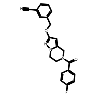 N#Cc1cccc(COc2cc3n(n2)CCN(C(=O)c2ccc(F)cc2)C3)c1